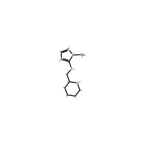 CC(C)(C)n1ncnc1SCC1CCCCO1